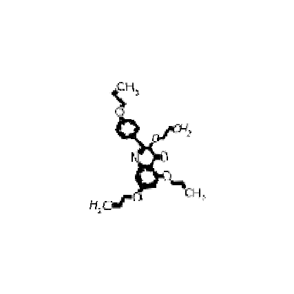 C=CCOc1ccc(C2=Nc3cc(OCC=C)cc(OCC=C)c3C(=O)C2OCC=C)cc1